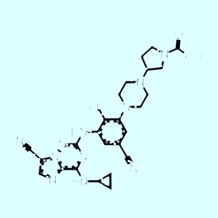 N#Cc1cc(Nc2nc(NC3CC3)c3ncc(C#N)n3n2)c(Cl)c(N2CCN(C3CCN(C(=O)O)C3)CC2)c1